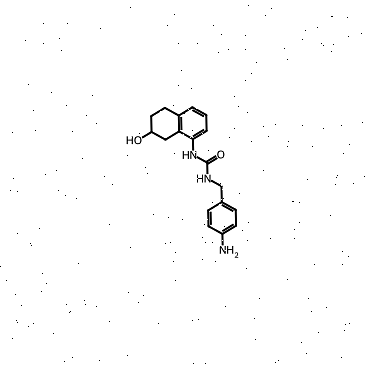 Nc1ccc(CNC(=O)Nc2cccc3c2CC(O)CC3)cc1